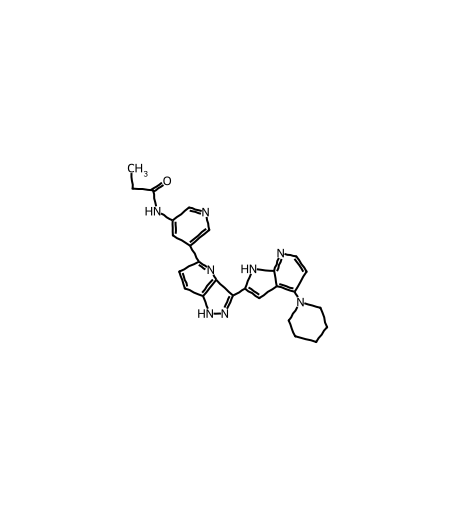 CCC(=O)Nc1cncc(-c2ccc3[nH]nc(-c4cc5c(N6CCCCC6)ccnc5[nH]4)c3n2)c1